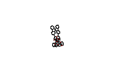 c1ccc2c(c1)-c1ccc(-c3ccc4c(c3)nc3c5ccccc5c5ccccc5n43)cc1C21c2ccccc2-c2ccc(-c3ccc4c(c3)nc3c5ccccc5c5ccccc5n43)cc21